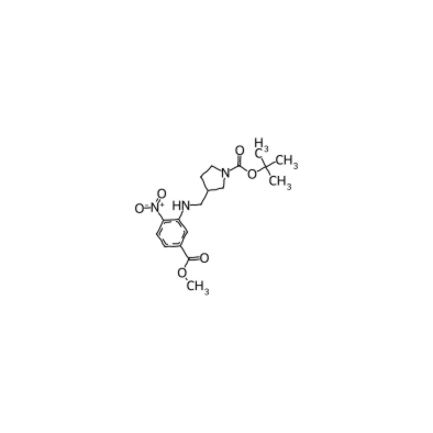 COC(=O)c1ccc([N+](=O)[O-])c(NCC2CCN(C(=O)OC(C)(C)C)C2)c1